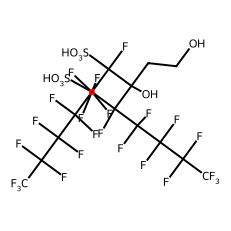 O=S(=O)(O)C(F)(F)C(F)(C(F)(F)C(F)(F)C(F)(F)C(F)(F)F)C(O)(CCO)C(F)(C(F)(F)C(F)(F)C(F)(F)C(F)(F)C(F)(F)F)S(=O)(=O)O